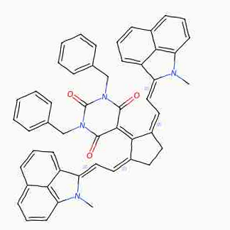 Cn1/c(=C\C=C2\CC/C(=C/C=c3/c4cccc5cccc(c54)n3C)C2=C2C(=O)N(Cc3ccccc3)C(=O)N(Cc3ccccc3)C2=O)c2cccc3cccc1c32